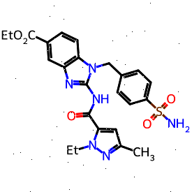 CCOC(=O)c1ccc2c(c1)nc(NC(=O)c1cc(C)nn1CC)n2Cc1ccc(S(N)(=O)=O)cc1